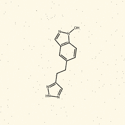 On1ncc2cc(CCc3cn[nH]n3)ccc21